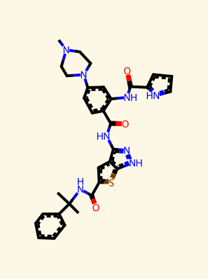 CN1CCN(c2ccc(C(=O)Nc3n[nH]c4sc(C(=O)NC(C)(C)c5ccccc5)cc34)c(NC(=O)c3ccc[nH]3)c2)CC1